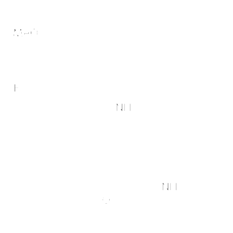 COc1ccc(N/C=C2/C(=O)Nc3ccccc32)cc1F